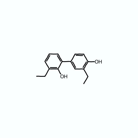 CCc1cc(-c2cccc(CC)c2O)ccc1O